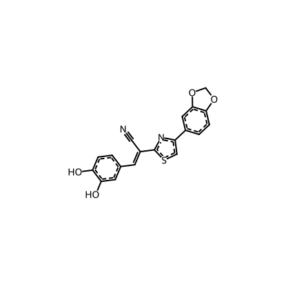 N#C/C(=C\c1ccc(O)c(O)c1)c1nc(-c2ccc3c(c2)OCO3)cs1